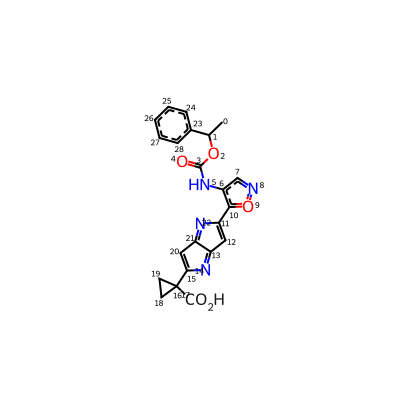 CC(OC(=O)Nc1cnoc1C1=CC2=NC(C3(C(=O)O)CC3)=CC2=N1)c1ccccc1